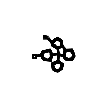 Clc1ccc(C2(c3ccccc3)c3ccccc3-c3ccc(Br)cc32)cc1